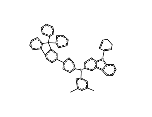 Cc1cc(C)cc(N(c2ccc(-c3ccc4c(c3)C(c3ccccc3)(c3ccccc3)c3ccccc3-4)cc2)c2ccc3c(c2)c2ccccc2n3C2=CCCC=C2)c1